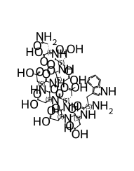 NC(=O)C[C@H](NC(=O)[C@H](CC(=O)O)NC(=O)[C@H](CC(=O)O)NC(=O)[C@H](CC(=O)O)NC(=O)[C@H](CC(=O)O)NC(=O)[C@H](CC(=O)O)NC(=O)[C@H](CC(=O)O)NC(=O)[C@H](CC(=O)O)NC(=O)[C@@H](N)Cc1c[nH]c2ccccc12)C(=O)O